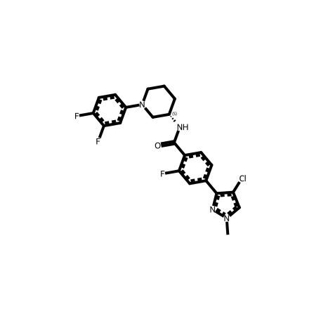 Cn1cc(Cl)c(-c2ccc(C(=O)N[C@H]3CCCN(c4ccc(F)c(F)c4)C3)c(F)c2)n1